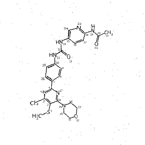 CSc1c(Cl)nc(-c2ccc(NC(=O)Nc3ccc(NC(C)=O)nc3)cc2)nc1N1CCOCC1